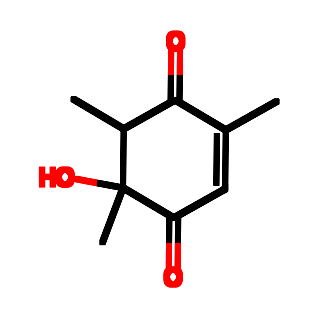 CC1=CC(=O)C(C)(O)C(C)C1=O